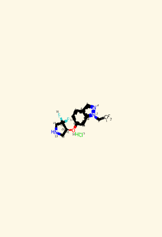 Cl.FC(F)(F)Cn1ncc2ccc(O[C@H]3CNCC3(F)F)cc21